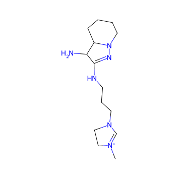 C[N+]1=CN(CCCNC2=NN3CCCCC3C2N)CC1